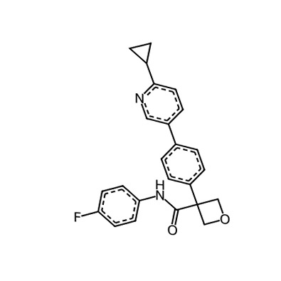 O=C(Nc1ccc(F)cc1)C1(c2ccc(-c3ccc(C4CC4)nc3)cc2)COC1